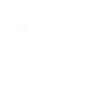 CC/C(Cc1ccccc1)=C(\c1ccccc1)c1ccc(NCCO)cc1